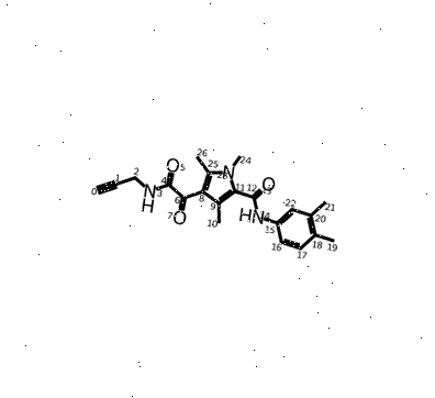 C#CCNC(=O)C(=O)c1c(C)c(C(=O)Nc2ccc(C)c(C)c2)n(C)c1C